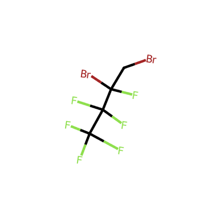 FC(F)(F)C(F)(F)C(F)(Br)CBr